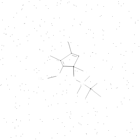 [Li][C]1(O[Si](C)(C)C(C)(C)C)C=C(C)C(C)=C1O[SiH3]